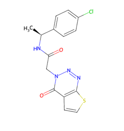 C[C@H](NC(=O)Cn1nnc2sccc2c1=O)c1ccc(Cl)cc1